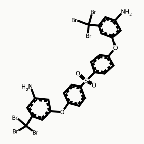 Nc1cc(Oc2ccc(S(=O)(=O)c3ccc(Oc4cc(N)cc(C(Br)(Br)Br)c4)cc3)cc2)cc(C(Br)(Br)Br)c1